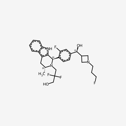 C[C@@H]1Cc2c([nH]c3ccccc23)[C@@H](c2ccc([C@@H](O)C3CN(CCCF)C3)cc2F)N1CC(F)(F)CO